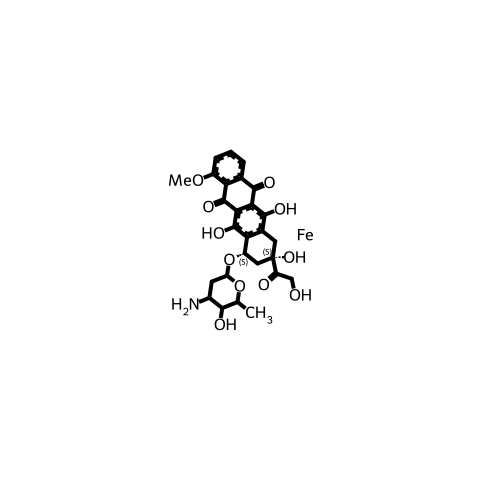 COc1cccc2c1C(=O)c1c(O)c3c(c(O)c1C2=O)C[C@@](O)(C(=O)CO)C[C@@H]3OC1CC(N)C(O)C(C)O1.[Fe]